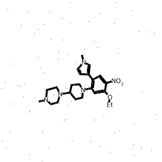 CCOc1cc(N2CCC(N3CCN(C)CC3)CC2)c(-c2ccn(C)c2)cc1[N+](=O)[O-]